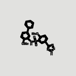 COc1ccc(-c2ccccc2)cc1NS(=O)(=O)c1cc(-c2nn[nH]n2)ccc1OC